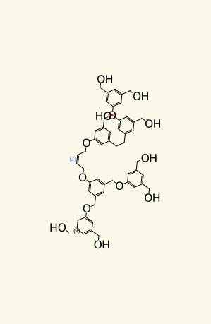 OCC1=C[C@H](CO)CC(OCc2cc(COc3cc(CO)cc(CO)c3)cc(OC/C=C\COc3cc(CCc4cc(CO)cc(CO)c4)cc(COc4cc(CO)cc(CO)c4)c3)c2)=C1